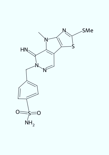 CSc1nc2c(s1)c1cnn(Cc3ccc(S(N)(=O)=O)cc3)c(=N)c1n2C